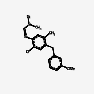 CCN(C)/C=N\c1cc(C)c(Cc2cccc(OC)c2)cc1Cl